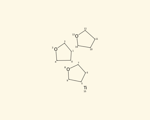 C1CCOC1.C1CCOC1.C1CCOC1.[Ti]